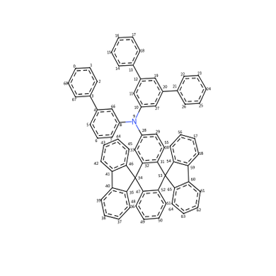 c1ccc(-c2cccc(N(c3cc(-c4ccccc4)cc(-c4ccccc4)c3)c3ccc4c(c3)C3(c5ccccc5-c5ccccc53)c3ccccc3C43c4ccccc4-c4ccccc43)c2)cc1